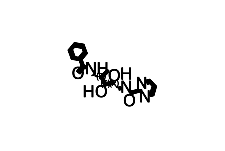 O=C(NC[C@@H]1CO[C@H](CNC(=O)c2ncccn2)[C@H]1O)c1ccccc1